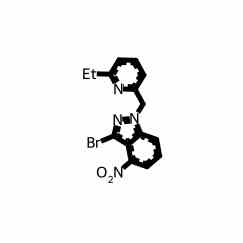 CCc1cccc(Cn2nc(Br)c3c([N+](=O)[O-])cccc32)n1